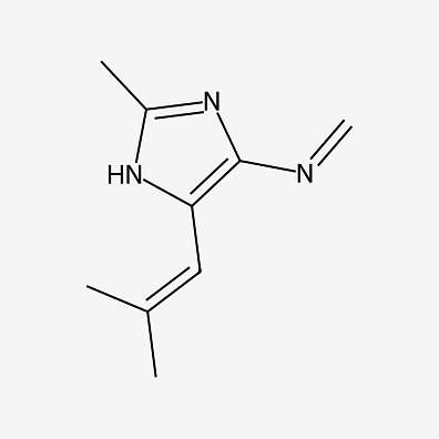 C=Nc1nc(C)[nH]c1C=C(C)C